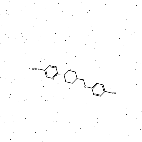 CCCCCCc1cnc([C@H]2CC[C@H](COc3ccc(CCCC)cc3)CC2)nc1